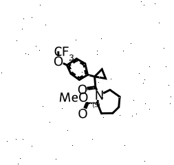 COC(=O)[C@@H]1CCCCCN1C(=O)C1(c2ccc(OC(F)(F)F)cc2)CC1